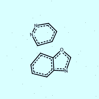 c1ccc2ocnc2c1.c1ccnnc1